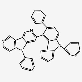 c1ccc(-c2ccc3c(c2-c2cc4c(cn2)c2cnccc2n4-c2ccccc2)c2ccccc2n3-c2ccccc2)cc1